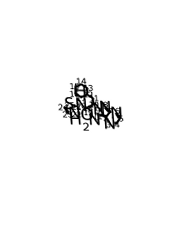 Nc1c2nccnc2nn1C(CC1CCCCC1)C(=O)Nc1nccs1